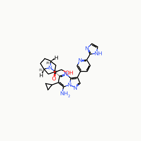 Nc1c(C2CC2)c([C@H]2C[C@H]3CC[C@@H](C2)N3C(=O)CO)nc2c(-c3ccc(-c4ncc[nH]4)nc3)cnn12